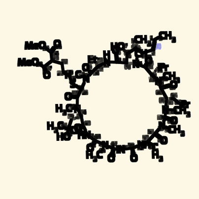 C/C=C/C[C@@H](C)[C@@H](O)[C@H]1C(=O)N[C@@H](CC)C(=O)N(C)[C@H](SCCCC(C(=O)OC)C(=O)OC)C(=O)N(C)[C@@H](CC(C)(C)O)C(=O)NC(=O)N(C)C(=O)NC(=O)N[C@H](C)C(=O)N(C)C(=O)N(C)[C@@H](CC(C)C)C(=O)N(C)[C@@H](C(C)C)C(=O)N1C